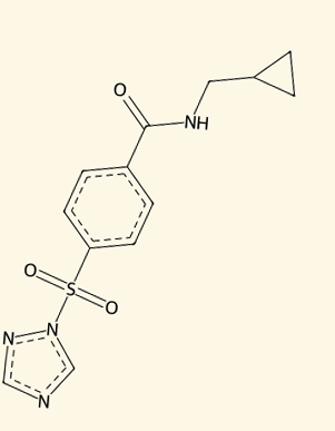 O=C(NCC1CC1)c1ccc(S(=O)(=O)n2cncn2)cc1